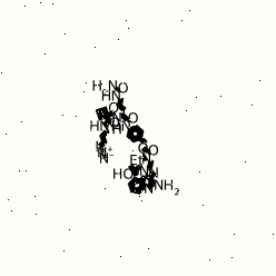 CCN(Cc1nc2c(N)nc3ccccc3c2n1CC(C)(C)O)C(=O)OCc1ccc(NC(=O)[C@H](CCCNC(N)=O)NC(=O)C2(C(=O)NCCCN=[N+]=[N-])CCC2)cc1